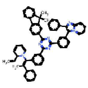 C=CC1C=CC=CN1/C(=C(\C)c1ccccc1)c1cccc(-c2nc(-c3cccc(-c4c(-c5ccccc5)nc5ccccn45)c3)nc(-c3ccc4c(c3)C(C)(C)c3ccccc3-4)n2)c1